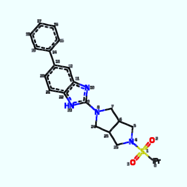 CC(C)S(=O)(=O)N1CC2CN(c3nc4cc(-c5ccccc5)ccc4[nH]3)CC2C1